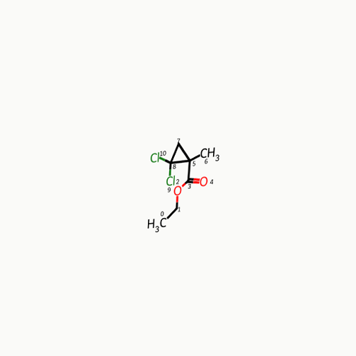 CCOC(=O)C1(C)CC1(Cl)Cl